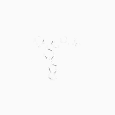 CC(C)(C)[Si](C)(C)O[C@@H]1COC[C@H]1Cn1c(=O)n(C2=CCCCC2)c2ncc(-c3cnc4[nH]ccc4c3)cc21